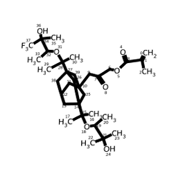 C=C(C)C(=O)OCC(=O)CC12CC3CC(C(C)(C)OC(C)C(C)(C)O)(C1)CC(C(C)(C)OC(C)C(C)(O)C(F)(F)F)(C3)C2